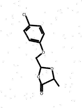 CC1OC(COc2ccc(Cl)cc2)OC1=O